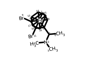 CC(N(C)C)[C]12[CH]3[CH]4[C]5(Br)[C]1(Br)[Fe]43521678[CH]2[CH]1[CH]6[CH]7[CH]28